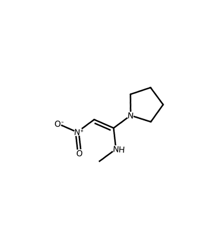 CNC(=C[N+](=O)[O-])N1CCCC1